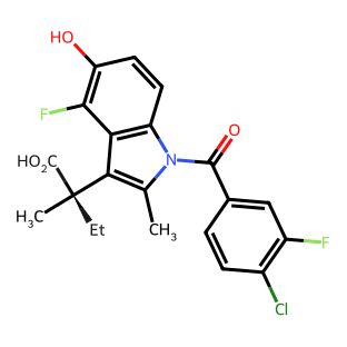 CC[C@@](C)(C(=O)O)c1c(C)n(C(=O)c2ccc(Cl)c(F)c2)c2ccc(O)c(F)c12